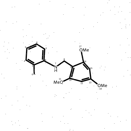 [CH2]c1ccccc1NCc1c(OC)cc(OC)cc1OC